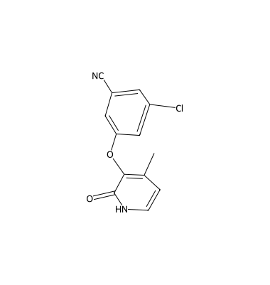 Cc1cc[nH]c(=O)c1Oc1cc(Cl)cc(C#N)c1